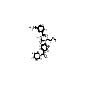 CSCCn1c(NC(=O)c2cccc(N)c2)nc2cc(C(=O)N3CCCCC3)cnc21